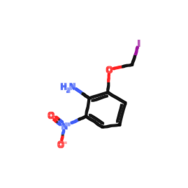 Nc1c(OCI)cccc1[N+](=O)[O-]